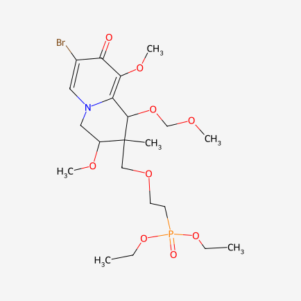 CCOP(=O)(CCOCC1(C)C(OC)Cn2cc(Br)c(=O)c(OC)c2C1OCOC)OCC